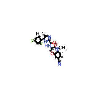 Cc1cnc(C(=O)N[C@H]2COc3cc(C#N)ccc3N(C)C2=O)nc1-c1ccc(F)cc1F